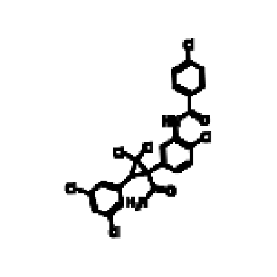 NC(=O)C1(c2ccc(Cl)c(NC(=O)c3ccc(Cl)cc3)c2)C(c2cc(Cl)cc(Cl)c2)C1(Cl)Cl